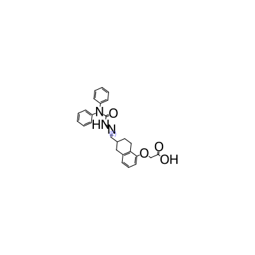 O=C(O)COc1cccc2c1CCC(/C=N/NC(=O)N(c1ccccc1)c1ccccc1)C2